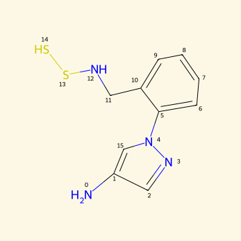 Nc1cnn(-c2ccccc2CNSS)c1